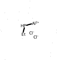 CC[PH][Al+2].[Cl-].[Cl-]